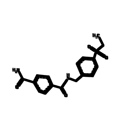 CCS(=O)(=O)c1ccc(CNC(=O)c2ccc(C(N)=O)cc2)cc1